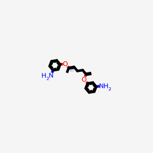 C=C(CC/C=C(\C)Oc1cccc(N)c1)Oc1cccc(N)c1